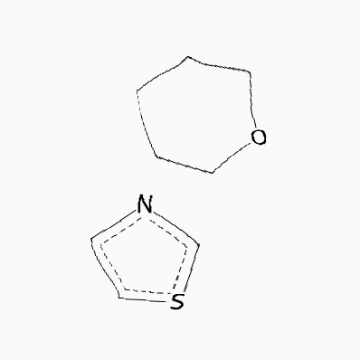 C1CCOCC1.c1cscn1